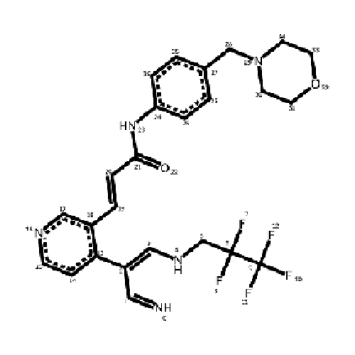 N=C/C(=C\NCC(F)(F)C(F)(F)F)c1ccncc1/C=C/C(=O)Nc1ccc(CN2CCOCC2)cc1